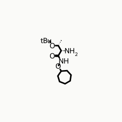 C[C@@H](OC(C)(C)C)[C@H](N)C(=O)NOC1CCCCCC1